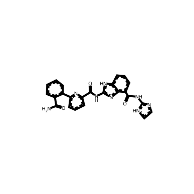 NC(=O)c1ccccc1-c1cccc(C(=O)Nc2nc3c(C(=O)Nc4ncc[nH]4)cccc3[nH]2)n1